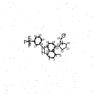 Cc1cccc2c(Nc3cccc(C(F)(F)F)c3)ccc(C3CCCN3C=O)c12